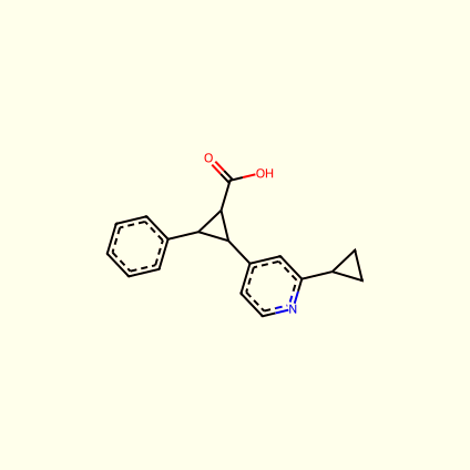 O=C(O)C1C(c2ccccc2)C1c1ccnc(C2CC2)c1